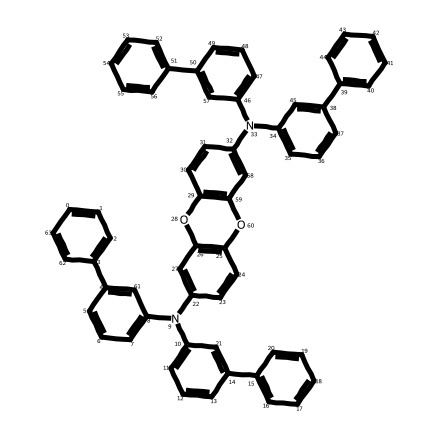 c1ccc(-c2cccc(N(c3cccc(-c4ccccc4)c3)c3ccc4c(c3)Oc3ccc(N(c5cccc(-c6ccccc6)c5)c5cccc(-c6ccccc6)c5)cc3O4)c2)cc1